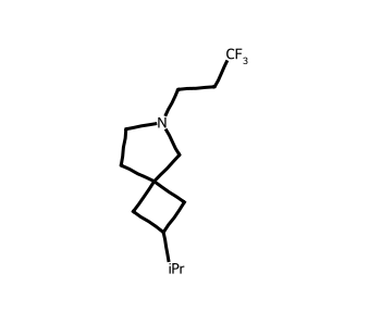 CC(C)C1CC2(CCN(CCC(F)(F)F)C2)C1